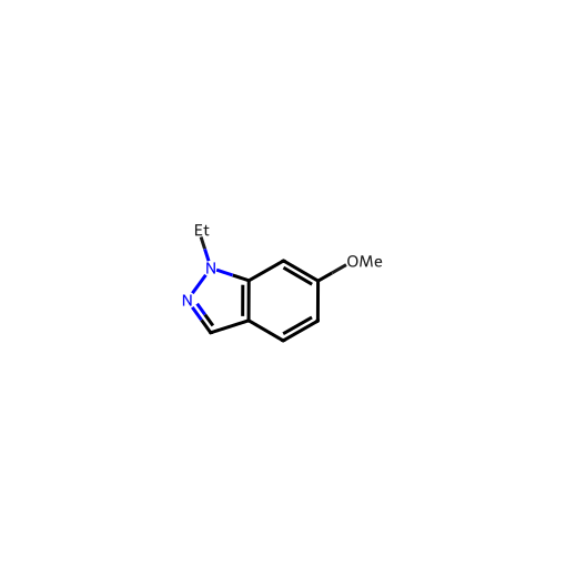 CCn1ncc2ccc(OC)cc21